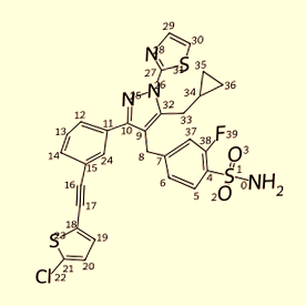 NS(=O)(=O)c1ccc(Cc2c(-c3cccc(C#Cc4ccc(Cl)s4)c3)nn(-c3nccs3)c2CC2CC2)cc1F